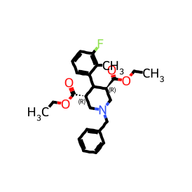 CCOC(=O)[C@H]1CN(Cc2ccccc2)C[C@H](C(=O)OCC)C1c1cccc(F)c1C